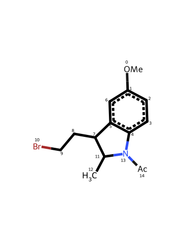 COc1ccc2c(c1)C(CCBr)C(C)N2C(C)=O